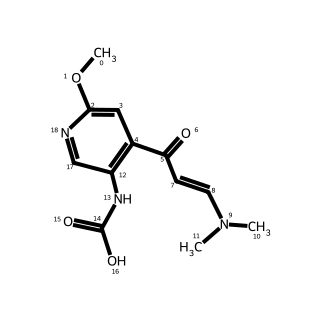 COc1cc(C(=O)C=CN(C)C)c(NC(=O)O)cn1